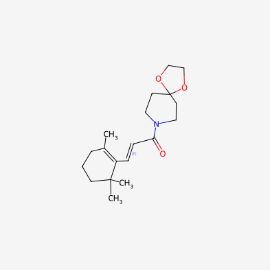 CC1=C(/C=C/C(=O)N2CCC3(CC2)OCCO3)C(C)(C)CCC1